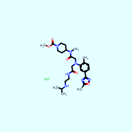 COC(=O)N1CCC(N(C)C(=O)CN(CC(=O)NCCNC(C)C)c2cc(-c3noc(C)n3)ccc2C)CC1.Cl